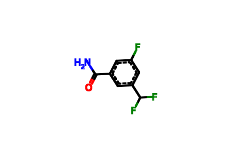 NC(=O)c1cc(F)cc(C(F)F)c1